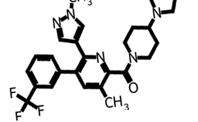 Cc1cc(-c2cccc(C(F)(F)F)c2)c(-c2cnn(C)c2)nc1C(=O)N1CCC(N2CCCC2)CC1